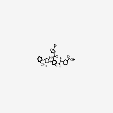 Cc1ccccc1N1CCN(c2cc(F)c(C(=O)N[C@@H]3CCCC(C(=O)O)C3)cc2NC(=O)c2coc(C3CC3)n2)CC1